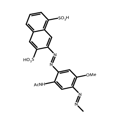 CN=Nc1cc(NC(C)=O)c(N=Nc2cc3c(S(=O)(=O)O)cccc3cc2S(=O)(=O)O)cc1OC